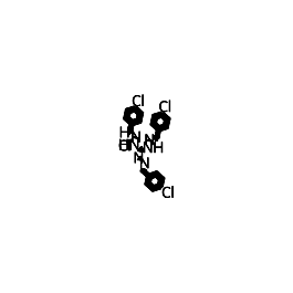 Cl.Clc1ccc(C=NN=C(NN=Cc2ccc(Cl)cc2)NN=Cc2ccc(Cl)cc2)cc1